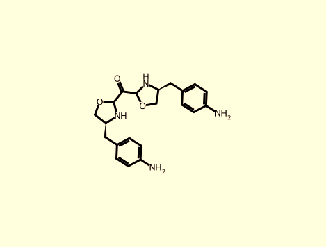 Nc1ccc(C[C@H]2COC(C(=O)C3N[C@@H](Cc4ccc(N)cc4)CO3)N2)cc1